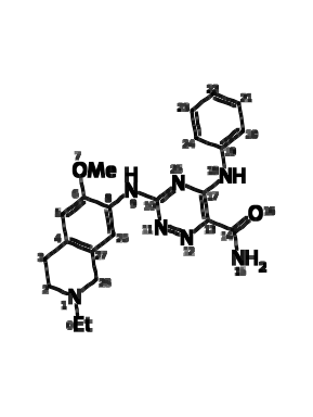 CCN1CCc2cc(OC)c(Nc3nnc(C(N)=O)c(Nc4ccccc4)n3)cc2C1